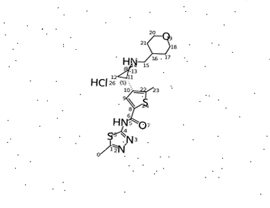 Cc1nnc(NC(=O)c2cc([C@@H]3C[C@H]3NCC3CCOCC3)c(C)s2)s1.Cl